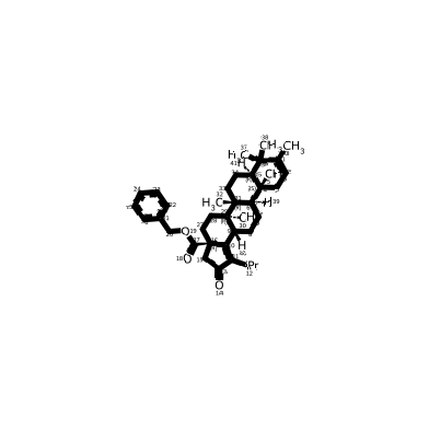 CC1=CC[C@]2(C)[C@H]3CC[C@@H]4C5=C(C(C)C)C(=O)C[C@]5(C(=O)OCc5ccccc5)CC[C@@]4(C)[C@]3(C)CC[C@H]2C1(C)C